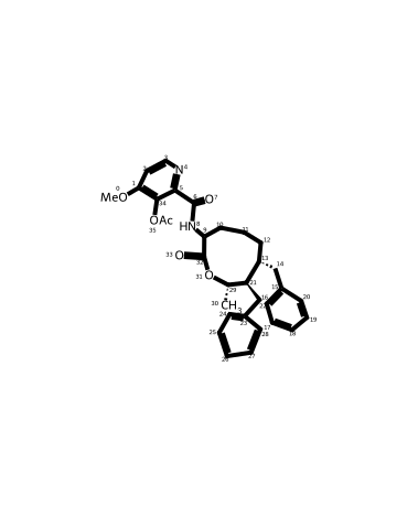 COc1ccnc(C(=O)NC2CCC[C@H](Cc3ccccc3)[C@@H](Cc3ccccc3)[C@H](C)OC2=O)c1OC(C)=O